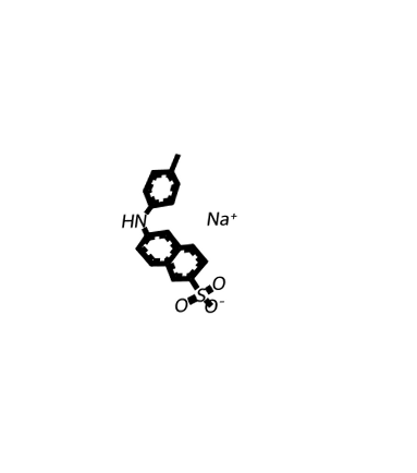 Cc1ccc(Nc2ccc3cc(S(=O)(=O)[O-])ccc3c2)cc1.[Na+]